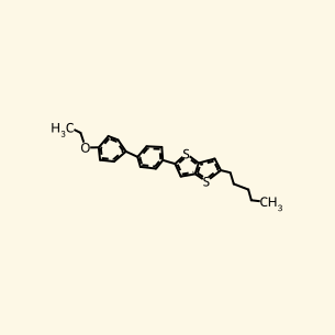 CCCCCc1cc2sc(-c3ccc(-c4ccc(OCC)cc4)cc3)cc2s1